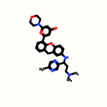 Cc1cnc(C(CCN(C)C)Nc2ccc3c(c2)Cc2cccc(-c4cc(=O)cc(N5CCOCC5)o4)c2O3)cn1